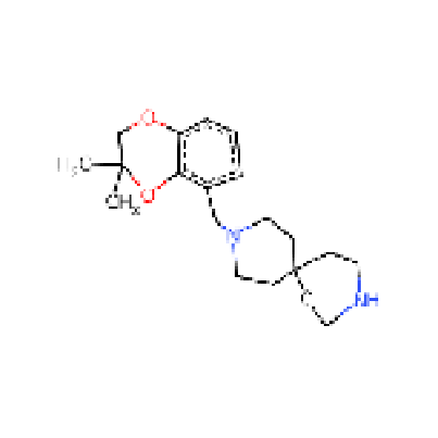 CC1(C)COc2cccc(CN3CCC4(CCNCC4)CC3)c2O1